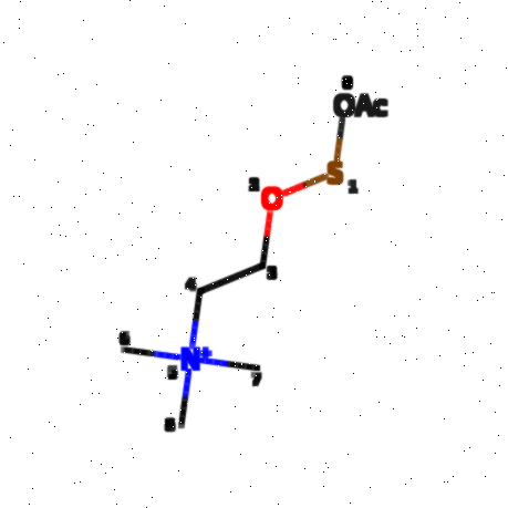 CC(=O)OSOCC[N+](C)(C)C